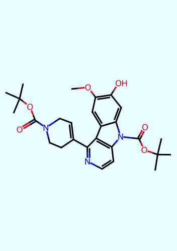 COc1cc2c3c(C4=CCN(C(=O)OC(C)(C)C)CC4)nccc3n(C(=O)OC(C)(C)C)c2cc1O